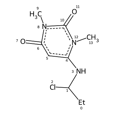 CCC(Cl)Nc1cc(=O)n(C)c(=O)n1C